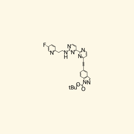 CC(C)(C)OC(=O)n1ncc2cc(C#Cc3ccnc(-c4ccnc(NCCc5ccc(F)cn5)n4)n3)ccc21